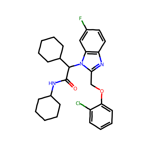 O=C(NC1CCCCC1)C(C1CCCCC1)n1c(COc2ccccc2Cl)nc2ccc(F)cc21